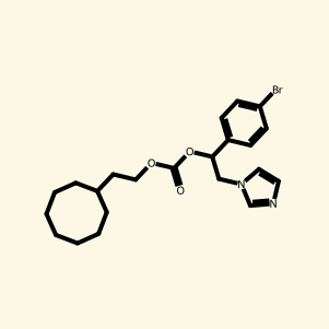 O=C(OCCC1CCCCCCC1)OC(Cn1ccnc1)c1ccc(Br)cc1